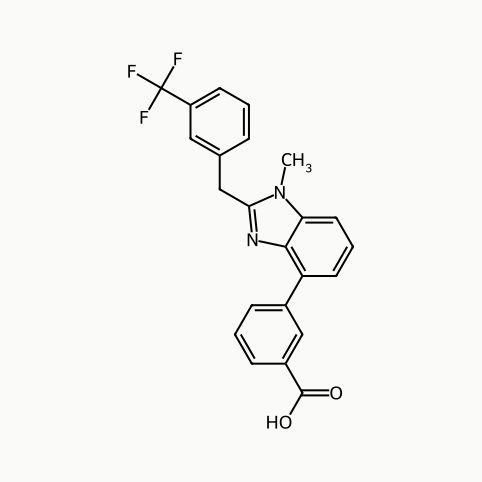 Cn1c(Cc2cccc(C(F)(F)F)c2)nc2c(-c3cccc(C(=O)O)c3)cccc21